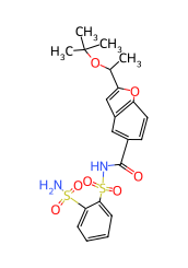 CC(OC(C)(C)C)c1cc2cc(C(=O)NS(=O)(=O)c3ccccc3S(N)(=O)=O)ccc2o1